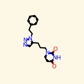 O=c1ccn(CCCc2cnnn2CCc2ccccc2)c(=O)[nH]1